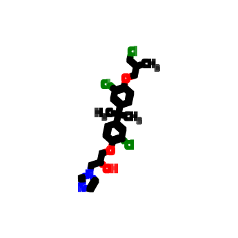 CC(CCl)COc1ccc(C(C)(C)c2ccc(OCC(O)Cn3ccnc3)c(Cl)c2)cc1Cl